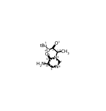 CC(C(=O)OC(C)(C)C)n1cncc(N)c1=O